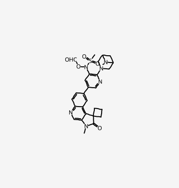 CN1C(=O)C2(CCC2)c2c1cnc1ccc(-c3cnc(N4CC5CC(C4)N5C)c(N(OC=O)S(C)(=O)=O)c3)cc21